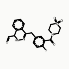 O=CC1NN=C(Cc2ccc(F)c(C(=O)N3CCS(=O)(=O)CC3)c2)c2ccccc21